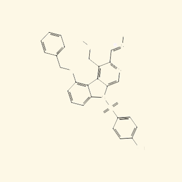 COCc1c(/C=N/O)ncc2c1c1c(OCc3ccccc3)cccc1n2S(=O)(=O)c1ccc(C)cc1.Cl